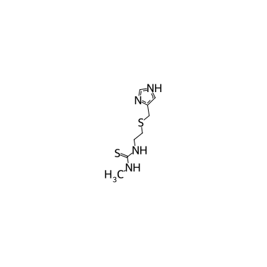 CNC(=S)NCCSCc1c[nH]cn1